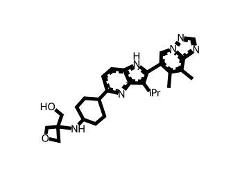 Cc1c(-c2[nH]c3ccc(C4CCC(NC5(CO)COC5)CC4)nc3c2C(C)C)cn2ncnc2c1C